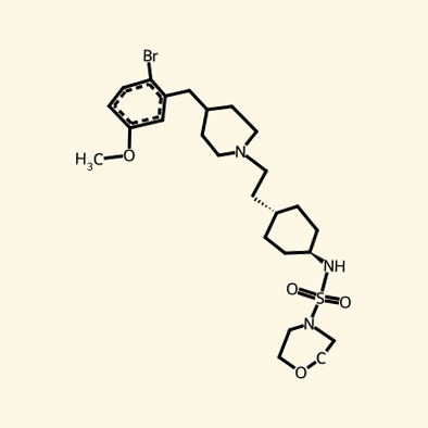 COc1ccc(Br)c(CC2CCN(CC[C@H]3CC[C@H](NS(=O)(=O)N4CCOCC4)CC3)CC2)c1